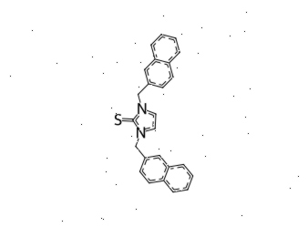 S=c1n(Cc2ccc3ccccc3c2)ccn1Cc1ccc2ccccc2c1